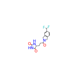 O=C1NC(=O)C(CCC(=O)N2Cc3ccc(C(F)F)cc3C2)N1